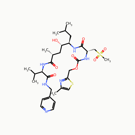 Cc1csc(COC(=O)N[C@@H](CS(C)(=O)=O)C(=O)N[C@H](CC(C)C)[C@@H](O)C[C@@H](C)C(=O)N[C@@H](C(=O)NCc2ccncc2)C(C)C)n1